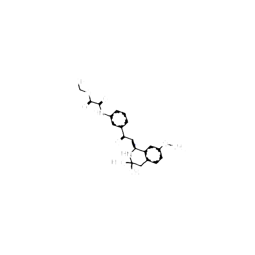 CCOC(=O)C(=O)Nc1cccc(C(=O)/C=C2\NC(C)(C)Cc3ccc(OC)cc32)c1